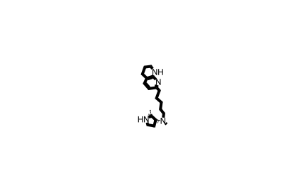 C[C@H]1NCC[C@H]1N(C)CCCCCc1ccc2c(n1)NCCC2